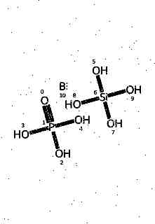 O=P(O)(O)O.O[Si](O)(O)O.[B]